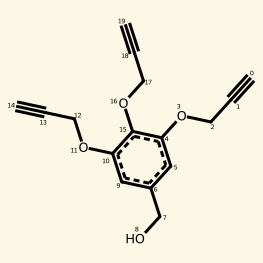 C#CCOc1cc(CO)cc(OCC#C)c1OCC#C